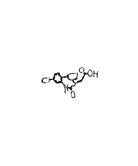 CN(C(=O)SCC(=O)O)c1cc(Cl)ccc1Cl